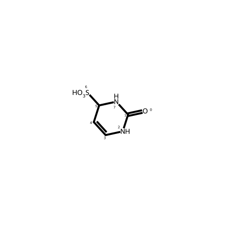 O=C1NC=CC(S(=O)(=O)O)N1